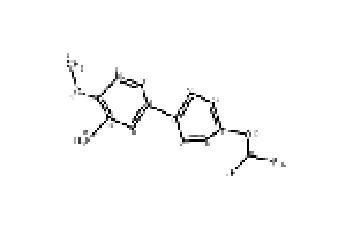 COc1ncc(-c2ccc(OC(F)F)cc2)cc1N